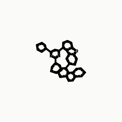 c1ccc(-c2cc(-c3cccc4oc5ccc(-c6cccc7ccc8ccccc8c67)cc5c34)nc(-c3ccccc3)n2)cc1